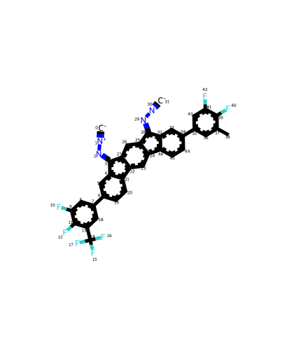 [C-]#[N+]/N=c1/c2cc(-c3cc(F)c(F)c(C(F)(F)F)c3)ccc2c2cc3c(cc12)/c(=N/[N+]#[C-])c1cc(-c2cc(C)c(F)c(F)c2)ccc13